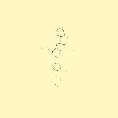 COn1c(=O)c(-c2c(F)cccc2Cl)cc2c(N)nc(-c3ccc(N4CCNCC4)c(C#N)c3)nc21